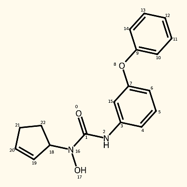 O=C(Nc1cccc(Oc2ccccc2)c1)N(O)C1C=CCC1